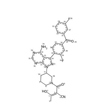 CC(O)=C(C#N)C(=O)N1CCCC(n2nc(-c3ccc(C(=O)c4cccc(F)c4)cc3F)c3c(N)ncnc32)C1